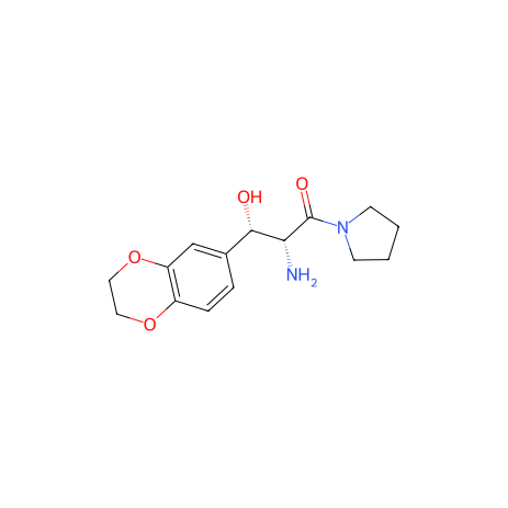 N[C@@H](C(=O)N1CCCC1)[C@@H](O)c1ccc2c(c1)OCCO2